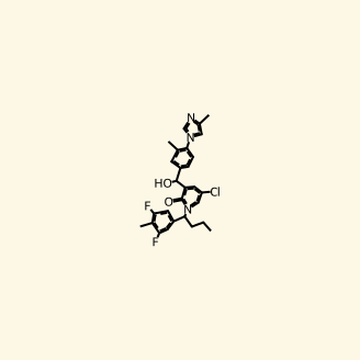 CCCC(c1cc(F)c(C)c(F)c1)n1cc(Cl)cc(C(O)c2ccc(-n3cnc(C)c3)c(C)c2)c1=O